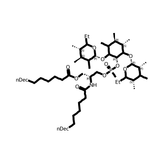 CCCCCCCCCCCCCCCC(=O)N[C@H](COC(=O)CCCCCCCCCCCCCCC)COP(C)(=O)O[C@@H]1C(O[C@H]2OC(CC)[C@@H](C)[C@H](C)C2C)C(C)[C@@H](C)[C@H](C)C1O[C@H]1OC(CC)[C@@H](C)C(C)[C@H]1C